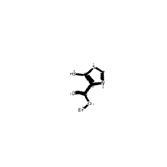 CCOC(=O)c1ncsc1S